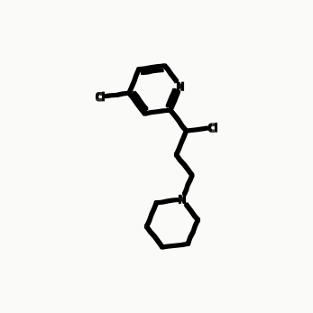 Clc1ccnc(C(Cl)CCN2CCCCC2)c1